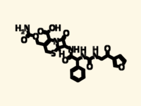 NC(=O)OCC1=C(C(=O)O)N2C(=O)C(NC(=O)C(NC(=O)NCC(=O)c3ccoc3)c3ccccc3)[C@@H]2SC1